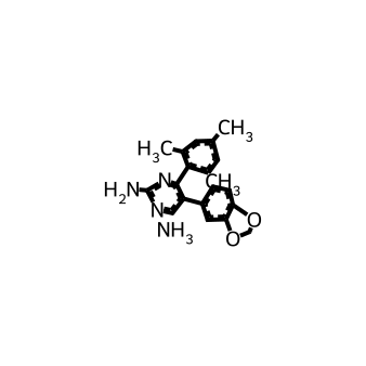 Cc1cc(C)c(-c2nc(N)ncc2-c2ccc3c(c2)OCO3)c(C)c1.N